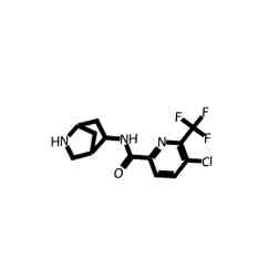 O=C(NC1CC2CC1CN2)c1ccc(Cl)c(C(F)(F)F)n1